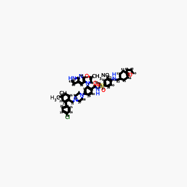 C[C@@H]1CN(c2cc(N3CCN(CC4=C(c5ccc(Cl)cc5)CC(C)(C)CC4)CC3)ccc2C(=O)NS(=O)(=O)c2ccc(NCC3CCC4(CCCO4)CC3)c([N+](=O)[O-])c2)c2cc3cc[nH]c3nc2O1